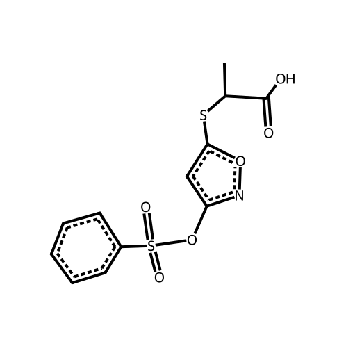 CC(Sc1cc(OS(=O)(=O)c2ccccc2)no1)C(=O)O